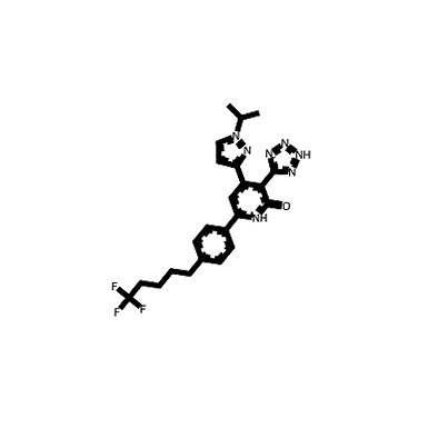 CC(C)n1ccc(-c2cc(-c3ccc(CCCCC(F)(F)F)cc3)[nH]c(=O)c2-c2nn[nH]n2)n1